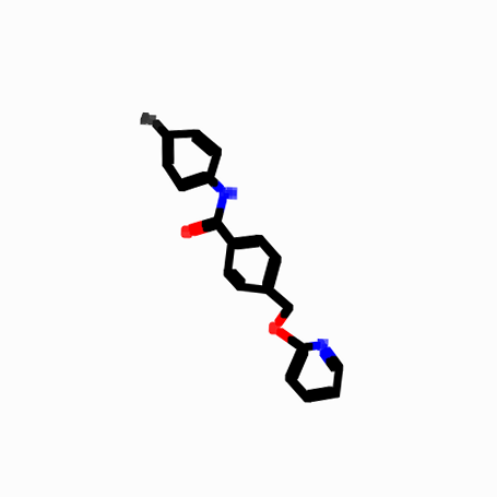 CC(=O)c1ccc(NC(=O)c2ccc(COc3ccccn3)cc2)cc1